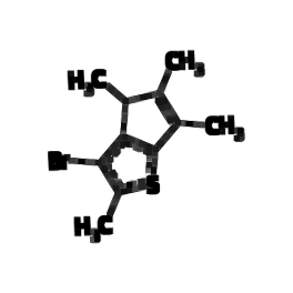 CC1=C(C)C(C)c2c1sc(C)c2Br